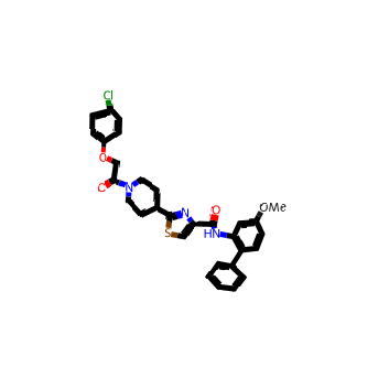 COc1ccc(-c2ccccc2)c(NC(=O)c2csc(C3CCN(C(=O)COc4ccc(Cl)cc4)CC3)n2)c1